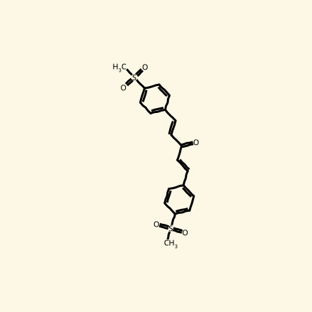 CS(=O)(=O)c1ccc(C=CC(=O)C=Cc2ccc(S(C)(=O)=O)cc2)cc1